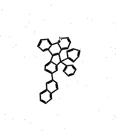 c1ccc(C2(c3ccccc3)c3cc(-c4ccc5ccccc5c4)ccc3-c3c2c2cccnc2c2ccccc32)cc1